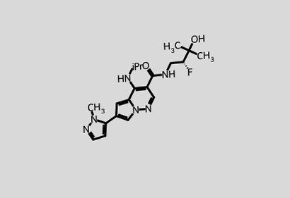 CC(C)Nc1c(C(=O)NC[C@@H](F)C(C)(C)O)cnn2cc(-c3ccnn3C)cc12